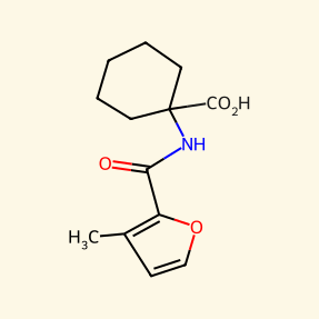 Cc1ccoc1C(=O)NC1(C(=O)O)CCCCC1